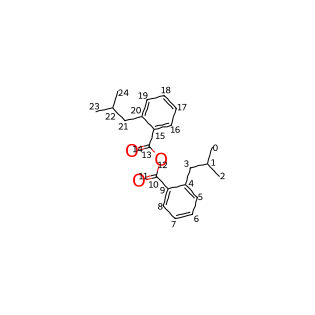 CC(C)Cc1ccccc1C(=O)OC(=O)c1ccccc1CC(C)C